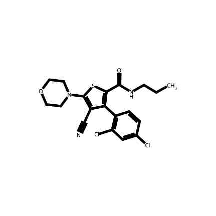 CCCNC(=O)c1sc(N2CCOCC2)c(C#N)c1-c1ccc(Cl)cc1Cl